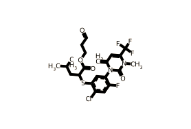 C=C1C=C(C(F)(F)F)N(C)C(=O)N1c1cc(SC(CC(C)C)C(=O)OCCC=O)c(Cl)cc1F